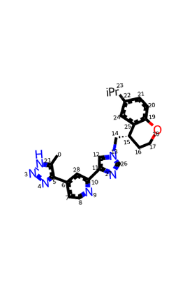 Cc1[nH]nnc1-c1ccnc(-c2cn(C[C@H]3CCOc4ccc(C(C)C)cc43)cn2)c1